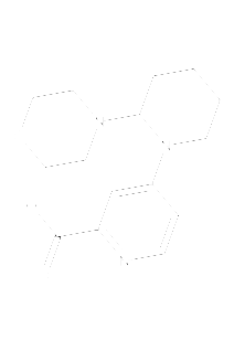 O=C(O)c1cc(N2CCCCC2N2CCOCC2)ccn1